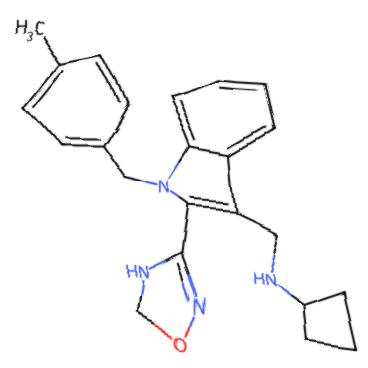 Cc1ccc(Cn2c(C3=NOCN3)c(CNC3CCC3)c3ccccc32)cc1